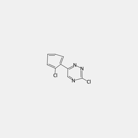 Clc1ncc(-c2ccccc2Cl)nn1